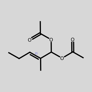 CC/C=C(\C)C(OC(C)=O)OC(C)=O